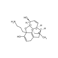 CN1CC[C@]23C4=C5CC=C(O)C4(CCCN)O[C@H]2[C@@H](O)C=C[C@H]3[C@H]1C5